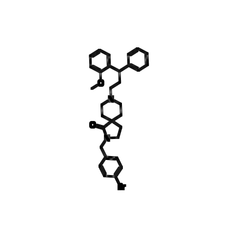 COc1ccccc1C(CCN1CCC2(CC1)CCN(Cc1ccc(Br)cc1)C2=O)c1ccccc1